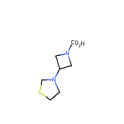 O=C(O)N1CC(N2CCSC2)C1